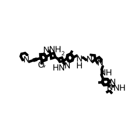 CNC1=Nc2cc(CNCCN3CCC4(CCN(CCNCc5cc6nc(NC)n(C(C)C)c6cc5C)C4)C3)c(C)cc2C12CC(C1CC3(C1)C(N)=Nc1cc(C#CCN4CCCCC4)c(OC)cc13)C2